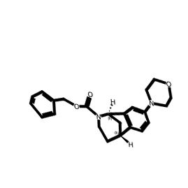 O=C(OCc1ccccc1)N1CC[C@@H]2C[C@@H]1c1cc(N3CCOCC3)ccc12